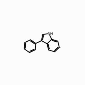 [c]1ccc2c(-c3ccccc3)c[nH]c2c1